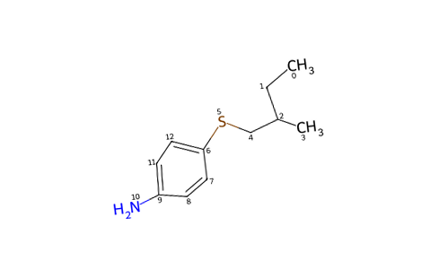 CCC(C)CSc1ccc(N)cc1